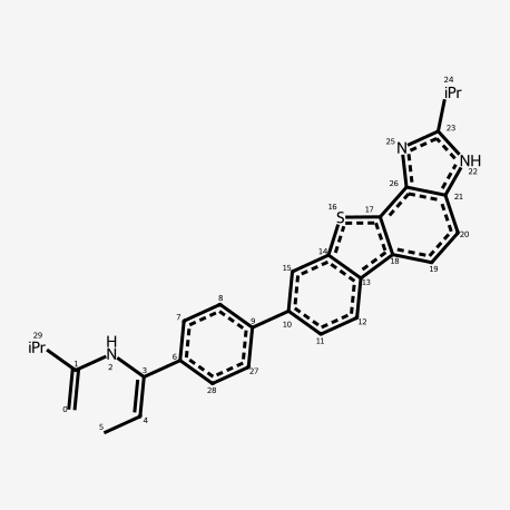 C=C(N/C(=C\C)c1ccc(-c2ccc3c(c2)sc2c3ccc3[nH]c(C(C)C)nc32)cc1)C(C)C